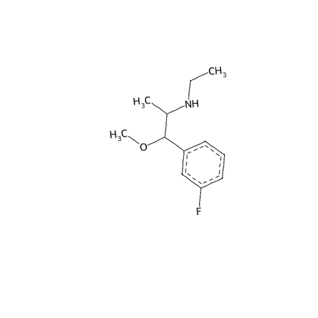 CCNC(C)C(OC)c1cccc(F)c1